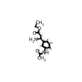 CCOC(=O)CC(N)c1cccc(NC(C)=O)c1